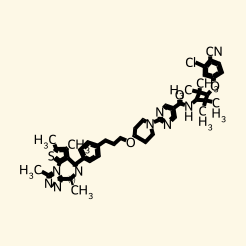 Cc1sc2c(c1C)C(c1ccc(CCCOC3CCN(c4ncc(C(=O)NC5C(C)(C)C(Oc6ccc(C#N)c(Cl)c6)C5(C)C)cn4)CC3)cc1)=N[C@@H](C)c1nnc(C)n1-2